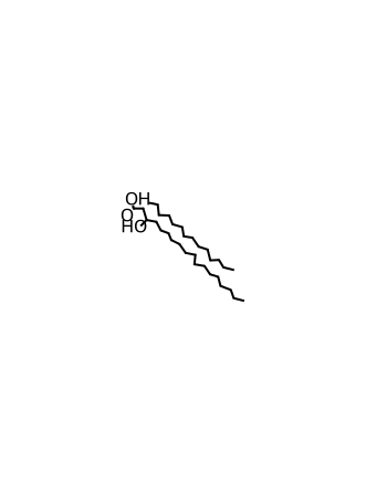 CCCCCCCCCCCCCC.CCCCCCCCCCCCCCCC(O)CC(=O)O